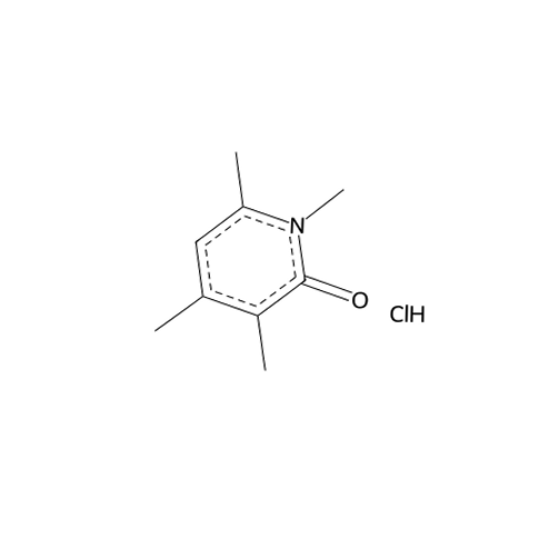 Cc1cc(C)n(C)c(=O)c1C.Cl